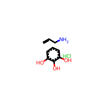 C=CCN.Cl.Oc1cccc(O)c1O